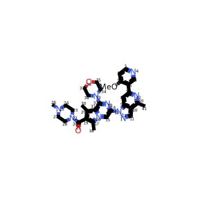 COc1ccncc1-c1cc2c(cnn2-c2cn3c(C)c(C(=O)N4CCN(C)CC4)c(C)c3c(N3CCOCC3)n2)c(C)n1